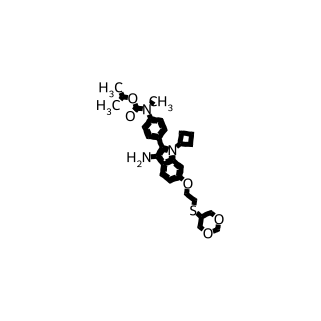 CC(C)OC(=O)N(C)c1ccc(-c2c(N)c3ccc(OCCSC4COCOC4)cc3n2C2CCC2)cc1